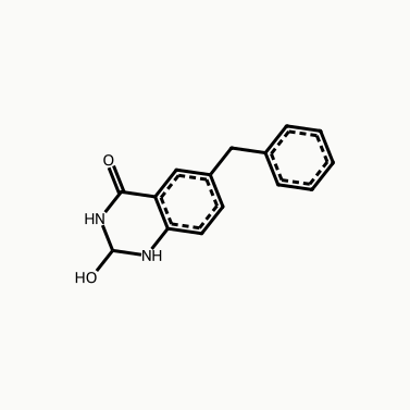 O=C1NC(O)Nc2ccc(Cc3ccccc3)cc21